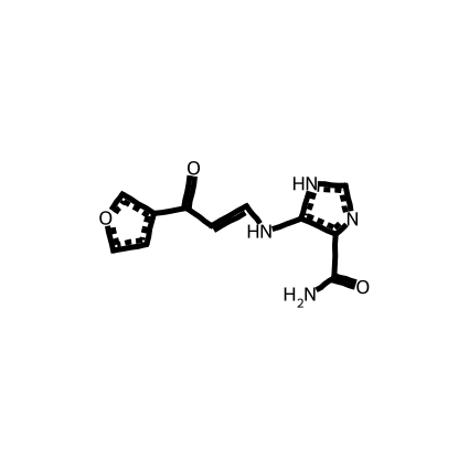 NC(=O)c1nc[nH]c1NC=CC(=O)c1ccoc1